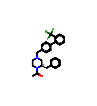 CC(=O)N1CCN(Cc2ccc(-c3ccccc3C(F)(F)F)cc2)C[C@@H]1Cc1ccccc1